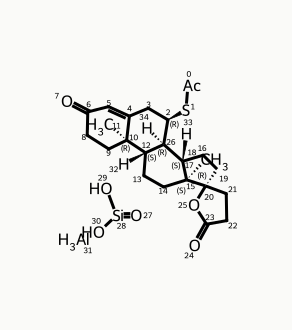 CC(=O)S[C@@H]1CC2=CC(=O)CC[C@]2(C)[C@H]2CC[C@@]3(C)[C@@H](CC[C@@]34CCC(=O)O4)[C@H]12.O=[Si](O)O.[AlH3]